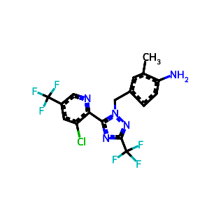 Cc1cc(Cn2nc(C(F)(F)F)nc2-c2ncc(C(F)(F)F)cc2Cl)ccc1N